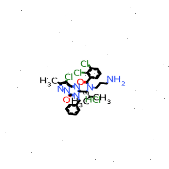 Cc1nn2c(=O)n(Cc3ccccc3)c([C@@H](C(C)C)N(CCCN)C(=O)c3cccc(Cl)c3Cl)nc2c1Cl.Cl